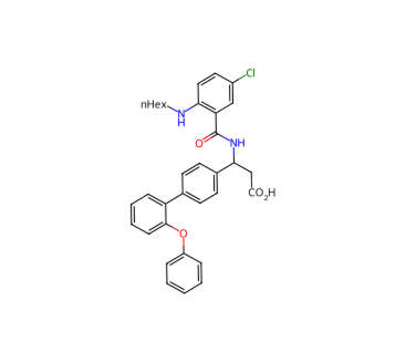 CCCCCCNc1ccc(Cl)cc1C(=O)NC(CC(=O)O)c1ccc(-c2ccccc2Oc2ccccc2)cc1